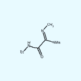 CCNC(=O)/C(=N/C)NC